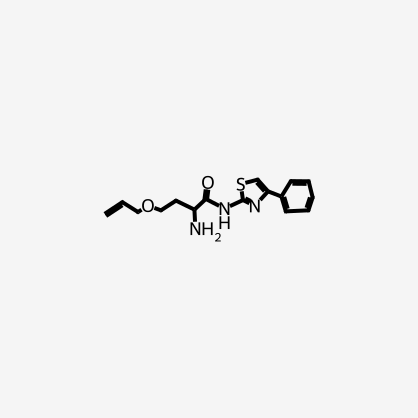 C=CCOCCC(N)C(=O)Nc1nc(-c2ccccc2)cs1